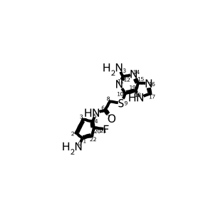 Nc1ccc(NC(=O)CSc2nc(N)nc3nc[nH]c23)c(F)c1